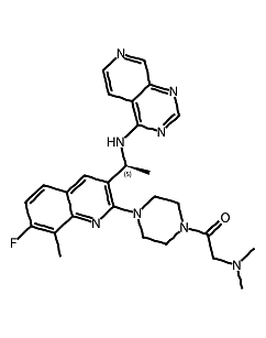 Cc1c(F)ccc2cc([C@H](C)Nc3ncnc4cnccc34)c(N3CCN(C(=O)CN(C)C)CC3)nc12